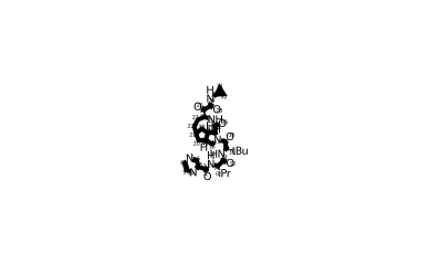 CC(C)[C@H](NC(=O)c1cnccn1)C(=O)N[C@H](C(=O)N1C[C@@H]2CC3CC[C@@H](C(=O)C(=O)NC4CC4)NC(=O)[C@@H]1[C@H]2C3)C(C)(C)C